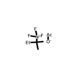 CC(=O)[O-].CCC(C)(C)[N+](F)(F)F